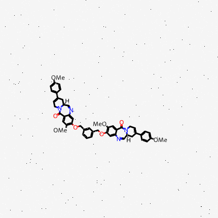 COc1ccc(C2=CCN3C(=O)c4cc(OC)c(OCc5cccc(COc6cc7c(cc6OC)C(=O)N6CC=C(c8ccc(OC)cc8)C[C@H]6C=N7)c5)cc4N=C[C@@H]3C2)cc1